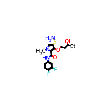 CCC(O)CCOc1c(SN)cn(C)c1C(=O)Nc1ccc(F)c(F)c1